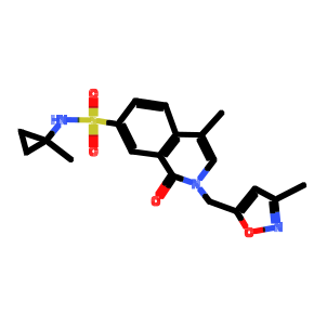 Cc1cc(Cn2cc(C)c3ccc(S(=O)(=O)NC4(C)CC4)cc3c2=O)on1